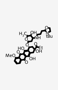 CCC(=O)[C@]1(O)Cc2c(O)c3c(c(O)c2[C@@H](OC2CC(NCCCC4OCCN4C(C)(C)C)C(O)C(C)O2)C1)C(=O)c1c(OC)cccc1C3=O